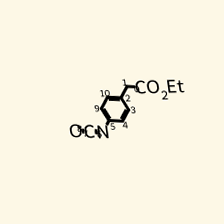 CCOC(=O)Cc1ccc(N=C=O)cc1